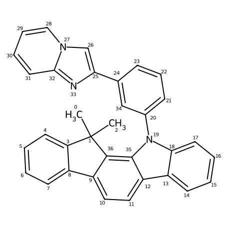 CC1(C)c2ccccc2-c2ccc3c4ccccc4n(-c4cccc(-c5cn6ccccc6n5)c4)c3c21